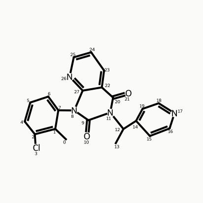 Cc1c(Cl)cccc1-n1c(=O)n(C(C)c2ccncc2)c(=O)c2cccnc21